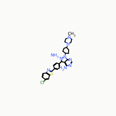 CN1CCN(C2CCC(n3nc(-c4ccc(-c5nc6ccc(Cl)cc6s5)cc4)c4c(N)ncnc43)CC2)CC1.N